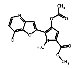 COC(=O)c1cc(OC(C)=O)c(-c2cc3nccc(Cl)c3o2)n1C